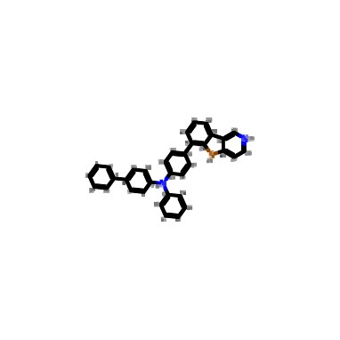 c1ccc(-c2ccc(N(c3ccccc3)c3ccc(-c4cccc5c4sc4ccncc45)cc3)cc2)cc1